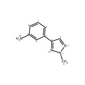 Cn1ncc(-c2cccc(N)c2)n1